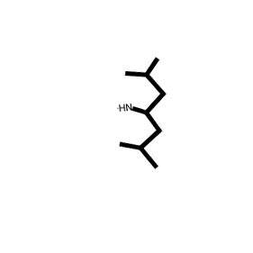 CC(C)CC([NH])CC(C)C